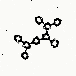 c1ccc(-c2cc(-c3ccccc3)nc(-c3cc(-c4ccc(-c5cc(-c6ccccn6)nc(-c6ccccn6)c5)cc4)cc(-c4ccccn4)c3)n2)cc1